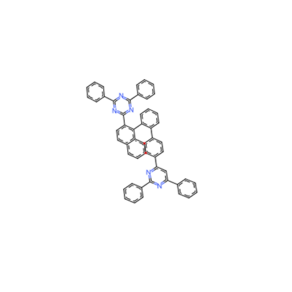 c1ccc(-c2cc(-c3ccc(-c4ccccc4-c4c(-c5nc(-c6ccccc6)nc(-c6ccccc6)n5)ccc5ccccc45)cc3)nc(-c3ccccc3)n2)cc1